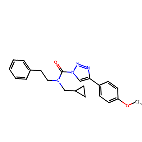 O=C(N(CCc1ccccc1)CC1CC1)n1cc(-c2ccc(OC(F)(F)F)cc2)nn1